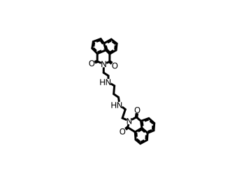 O=C1c2cccc3cccc(c23)C(=O)N1CCNCCCNCCN1C(=O)c2cccc3cccc(c23)C1=O